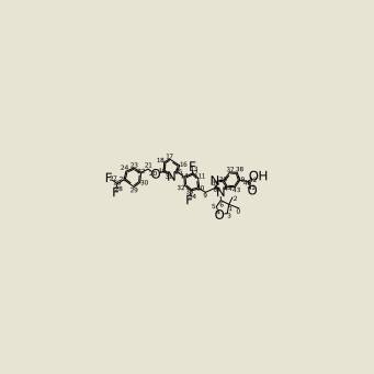 CC1(C)COC[C@H]1n1c(Cc2cc(F)c(-c3cccc(OCc4ccc(C(F)F)cc4)n3)cc2F)nc2ccc(C(=O)O)cc21